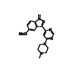 COc1ccc2[nH]nc(-c3cc(N4CCN(C)CC4)ncn3)c2c1